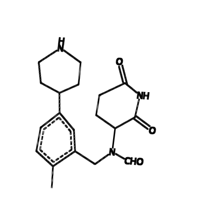 Cc1ccc(C2CCNCC2)cc1CN(C=O)C1CCC(=O)NC1=O